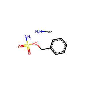 CC(N)=O.NS(=O)(=O)OCc1ccccc1